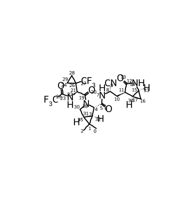 CC1(C)[C@@H]2[C@@H](C(=O)N[C@H](C#N)C[C@H]3C(=O)N[C@H]4C[C@H]43)N(C(=O)[C@@H](NC(=O)C(F)(F)F)C3(C(F)(F)F)CC3)C[C@@H]21